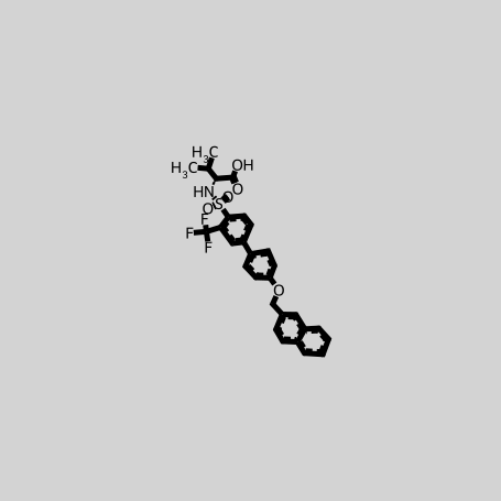 CC(C)[C@@H](NS(=O)(=O)c1ccc(-c2ccc(OCc3ccc4ccccc4c3)cc2)cc1C(F)(F)F)C(=O)O